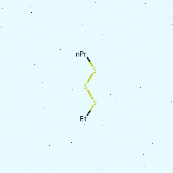 CCCSSSCC